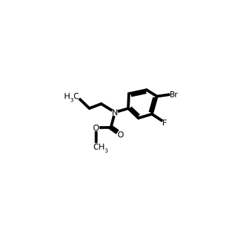 CCCN(C(=O)OC)c1ccc(Br)c(F)c1